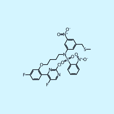 CSCc1cc(N(CCCCOc2cc(F)ccc2-c2nc(Cl)ncc2F)S(=O)(=O)c2ccccc2[N+](=O)[O-])cc([N+](=O)[O-])c1